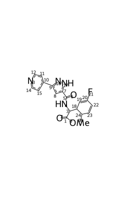 COC(=O)C(NC(=O)c1cc(-c2ccncc2)n[nH]1)C1C=C(F)C=CC1C